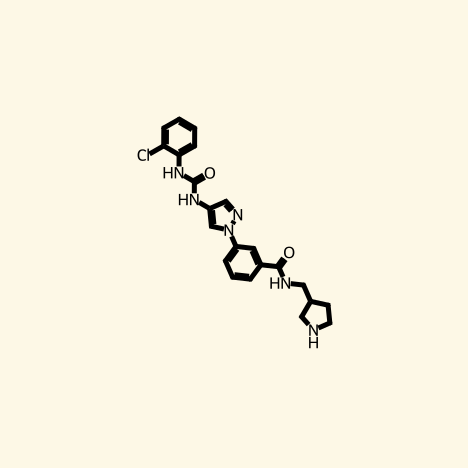 O=C(Nc1cnn(-c2cccc(C(=O)NCC3CCNC3)c2)c1)Nc1ccccc1Cl